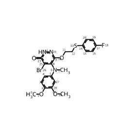 COc1ccc(N(C)c2c(OCCSc3ccc(F)cc3)n[nH]c(=O)c2Br)cc1OC